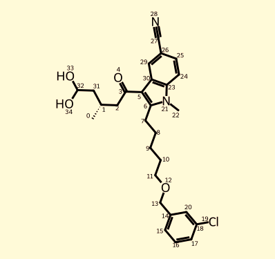 C[C@@H](CC(=O)c1c(CCCCCOCc2cccc(Cl)c2)n(C)c2ccc(C#N)cc12)CC(O)O